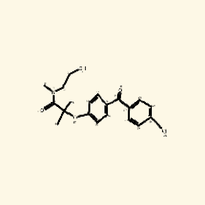 CN(CCO)C(=O)C(C)(C)Oc1ccc(C(=O)c2ccc(Cl)cc2)cc1